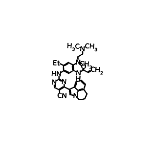 C=CC(=O)Nc1cc(Nc2ncc(C#N)c(-c3cn4c5c(cccc35)CCC4)n2)c(CC)cc1N(C)CCN(C)C